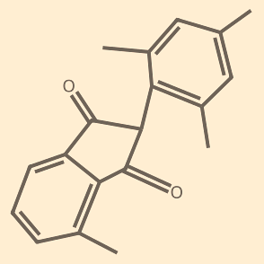 Cc1cc(C)c(C2C(=O)c3cccc(C)c3C2=O)c(C)c1